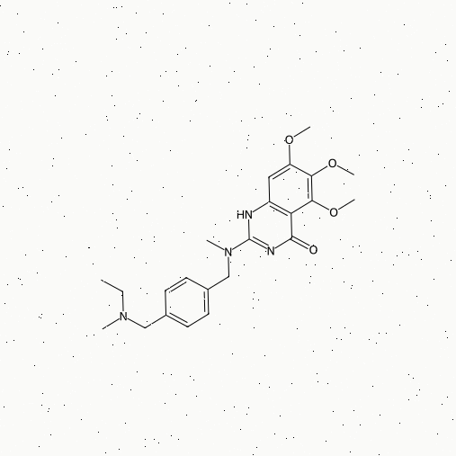 CCN(C)Cc1ccc(CN(C)c2nc(=O)c3c(OC)c(OC)c(OC)cc3[nH]2)cc1